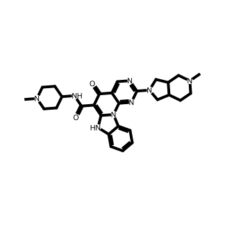 CN1CCC(NC(=O)c2c(=O)c3cnc(N4CC5CCN(C)CC5C4)nc3n3c2[nH]c2ccccc23)CC1